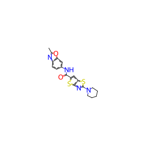 Cc1nc2ccc(NC(=O)c3cc4sc(N5CCCCC5)nc4s3)cc2o1